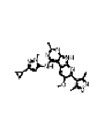 COc1cc2c(nc1-c1c(C)noc1C)[nH]c1nc(C)nc(Nc3cc(C4CC4)nn3C)c12